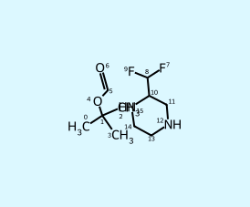 CC(C)(C)OC=O.FC(F)C1CNCCN1